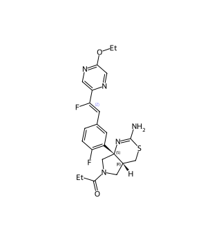 CCOc1cnc(/C(F)=C/c2ccc(F)c([C@]34CN(C(=O)CC)C[C@H]3CSC(N)=N4)c2)cn1